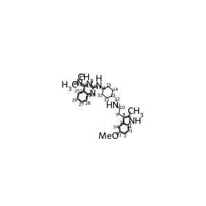 COc1ccc2[nH]c(C)c(CCNC[C@H]3CC[C@@H](Nc4nc(N(C)C)c5ccccc5n4)CC3)c2c1